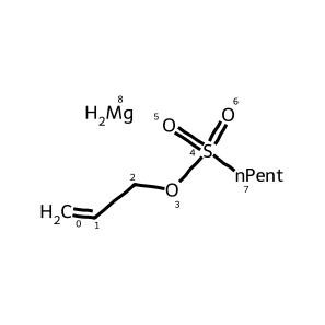 C=CCOS(=O)(=O)CCCCC.[MgH2]